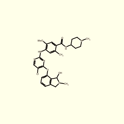 COc1cc(C(=O)NC2CCN(C)CC2)c(C)cc1Nc1ncc(Cl)c(Oc2cccc3c2C(O)N(C)C3)n1